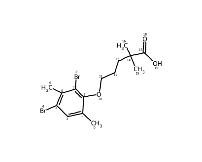 Cc1cc(Br)c(C)c(Br)c1OCCCC(C)(C)C(=O)O